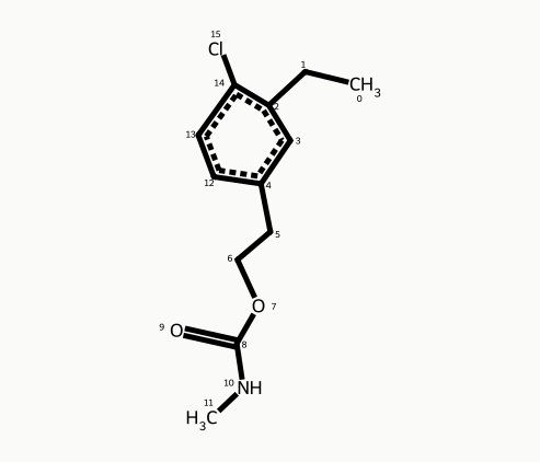 CCc1cc(CCOC(=O)NC)ccc1Cl